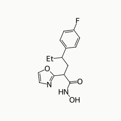 CCC(CC(C(=O)NO)c1ncco1)c1ccc(F)cc1